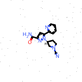 N#CN1CC[C@@H](n2nc(C(N)=O)cc2-c2ccccn2)C1